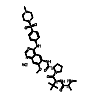 CN[C@@H](C)C(=O)N[C@H](C(=O)N1CCC[C@H]1C(=O)Nc1cc2c(Nc3ccc(S(=O)(=O)N4CCN(C)CC4)cc3)ncnc2cc1OC)C(C)(C)C.Cl